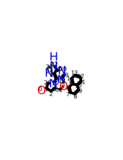 O=C1C[C@H](COc2cccc3ccccc23)N(c2ncnc3[nH]cnc23)C1